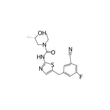 CCN(C[C@H](C)O)C(=O)Nc1ncc(Cc2cc(F)cc(C#N)c2)s1